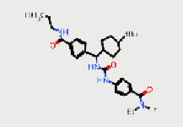 CCN(CC)C(=O)c1ccc(NC(=O)NC(c2ccc(C(=O)NCCC(=O)O)cc2)C2CCC(C(C)(C)C)CC2)cc1